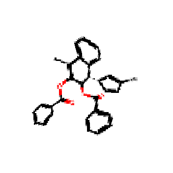 CCCCC1=CC([C@H]2c3ccccc3[C@H](C)C(OC(=O)c3ccccc3)C2OC(=O)c2ccccc2)C=C1